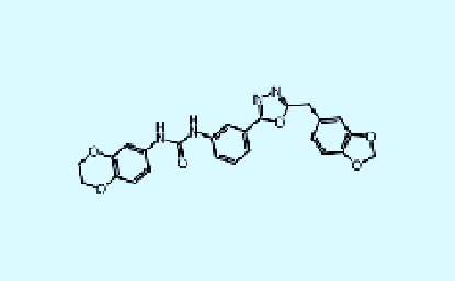 O=C(Nc1cccc(-c2nnc(Cc3ccc4c(c3)OCO4)o2)c1)Nc1ccc2c(c1)OCCO2